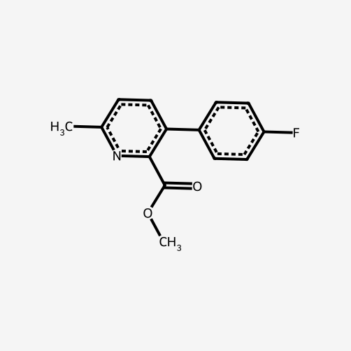 COC(=O)c1nc(C)ccc1-c1ccc(F)cc1